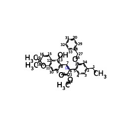 CCc1ccc(/C(=C/c2ccc3c(c2O)C=CC(C)(C)O3)C(=O)OC)c(OCc2ccccc2)c1